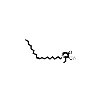 CCCCCCCC/C=C\CCCCCCCCn1ccc(=O)c(O)c1CC